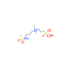 C[N+](C)(CCCNS(=O)(=O)F)CCCS(=O)(=O)O